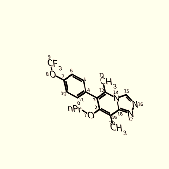 CCCOc1c(-c2ccc(OC(F)(F)F)cc2)c(C)n2cnnc2c1C